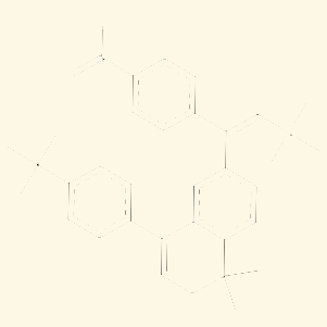 CC(C)(C)c1ccc(C2=CCC(C)(C)c3ccc(/C(=C\[Si](C)(C)C)c4ccc(C(=O)O)cc4)cc32)cc1